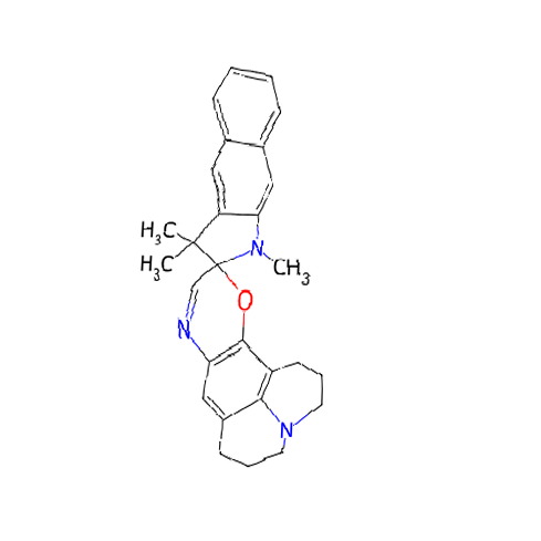 CN1c2cc3ccccc3cc2C(C)(C)C12C=Nc1cc3c4c(c1O2)CCCN4CCC3